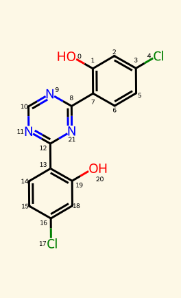 Oc1cc(Cl)ccc1-c1ncnc(-c2ccc(Cl)cc2O)n1